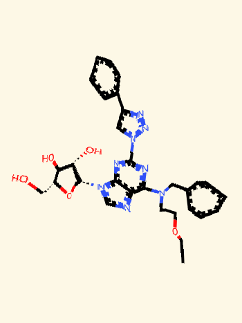 CCOCCN(Cc1ccccc1)c1nc(-n2cc(-c3ccccc3)nn2)nc2c1ncn2[C@@H]1O[C@H](CO)C(O)[C@@H]1O